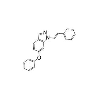 C(=C\n1ncc2ccc(Oc3ccccc3)cc21)/c1ccccc1